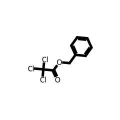 O=C(OCc1ccccc1)C(Cl)(Cl)Cl